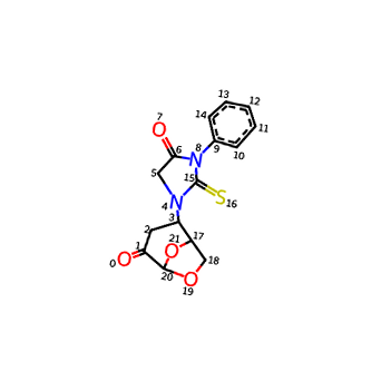 O=C1CC(N2CC(=O)N(c3ccccc3)C2=S)C2COC1O2